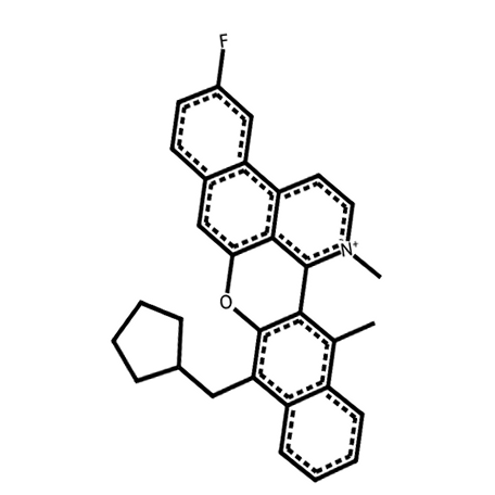 Cc1c2c(c(CC3CCCC3)c3ccccc13)Oc1cc3ccc(F)cc3c3cc[n+](C)c-2c13